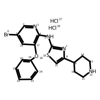 Brc1cnc(Nc2nc(C3CCNCC3)cs2)c(Oc2ccccc2)c1.Cl.Cl